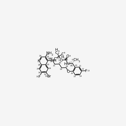 C[C@@H](NC(=O)OC(C)(C)C)c1cc(F)ccc1OCCCCNc1c(N)cnc2cc(F)c(Br)cc12